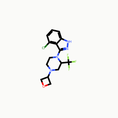 FC(F)(F)C1CN(C2COC2)CCN1c1n[nH]c2cccc(Cl)c12